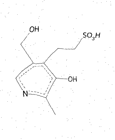 Cc1ncc(CO)c(CCS(=O)(=O)O)c1O